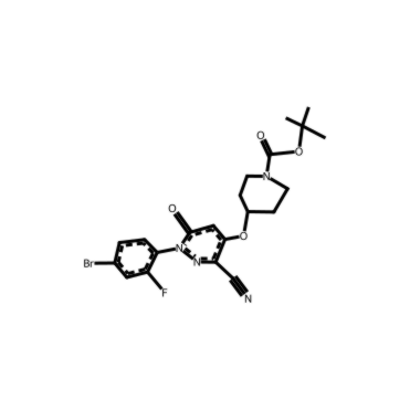 CC(C)(C)OC(=O)N1CCC(Oc2cc(=O)n(-c3ccc(Br)cc3F)nc2C#N)CC1